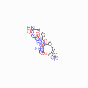 CCn1c(-c2cccnc2[C@H](C)OC)c2c3cc(ccc31)-c1cccc(c1)C[C@H](NC(=O)C(C1CCCC1)N1CC[C@]3(CCN(C(=O)[C@@H]4NC4C4CC4)C3)C1=O)C(=O)N1CCC[C@H](N1)C(=O)OCC(C)(C)C2